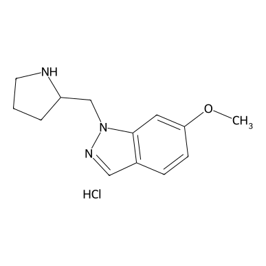 COc1ccc2cnn(CC3CCCN3)c2c1.Cl